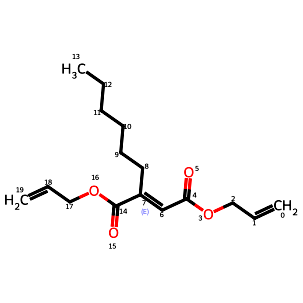 C=CCOC(=O)/C=C(\CCCCCC)C(=O)OCC=C